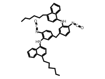 CCCCCCc1ccc(Nc2cc(Cc3ccc(N=C=O)c(Nc4ccc(CCCCCC)c5ccccc45)c3)ccc2N=C=O)c2ccccc12